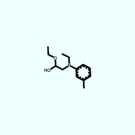 CCOC(O)CN(CC)c1cccc(C)c1